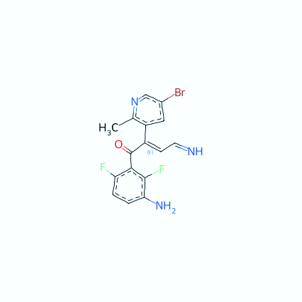 Cc1ncc(Br)cc1/C(=C\C=N)C(=O)c1c(F)ccc(N)c1F